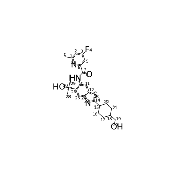 Cc1cc(F)cc(C(=O)Nc2cc3sc(C4CCC(CO)CC4)nc3cc2C(C)(C)O)n1